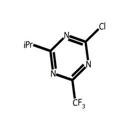 CC(C)c1nc(Cl)nc(C(F)(F)F)n1